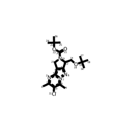 Cc1nc2c3c(nn2c(C)c1Cl)C(COC(C)(C)C)N(C(=O)OC(C)(C)C)C3